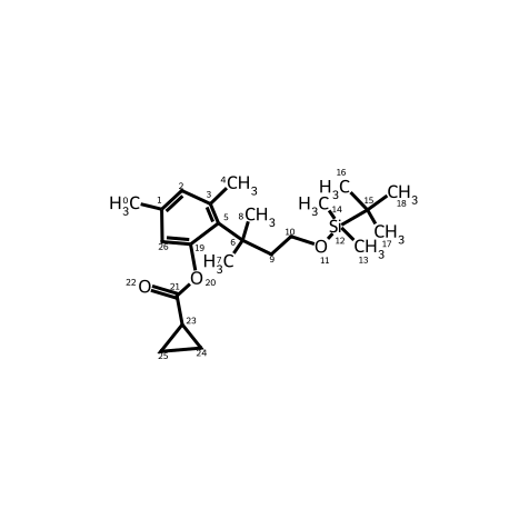 Cc1cc(C)c(C(C)(C)CCO[Si](C)(C)C(C)(C)C)c(OC(=O)C2CC2)c1